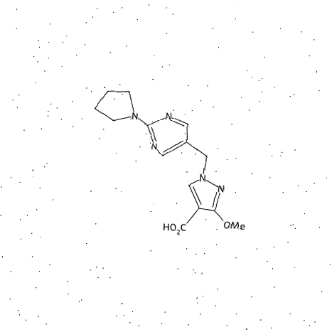 COc1nn(Cc2cnc(N3CCCC3)nc2)cc1C(=O)O